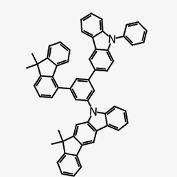 CC1(C)c2ccccc2-c2cc3c4ccccc4n(-c4cc(-c5ccc6c(c5)c5ccccc5n6-c5ccccc5)cc(-c5cccc6c5-c5ccccc5C6(C)C)c4)c3cc21